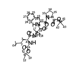 C=CCC[C@H](NC(=O)OC(C)(C)C)C(=O)NC(C)(C)C(=O)N[C@@H](Cc1ccccc1)C(=O)N1CCC[C@@H]1C(=O)OC(C)(C)C